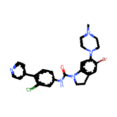 CN1CCN(c2cc3c(cc2Br)CCN3C(=O)Nc2ccc(-c3ccncc3)c(Cl)c2)CC1